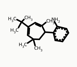 CC1=CC(C(C)(C)C)=CC(C)(C)CC1c1ccccc1N